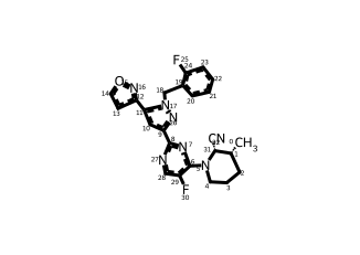 C[C@@H]1CCCN(c2nc(-c3cc(-c4ccon4)n(Cc4ccccc4F)n3)ncc2F)[C@@H]1C#N